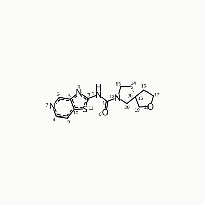 O=C(Nc1nc2cnccc2s1)N1CC[C@@]2(CCOC2)C1